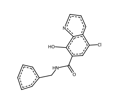 O=C(NCc1ccccc1)c1cc(Cl)c2cccnc2c1O